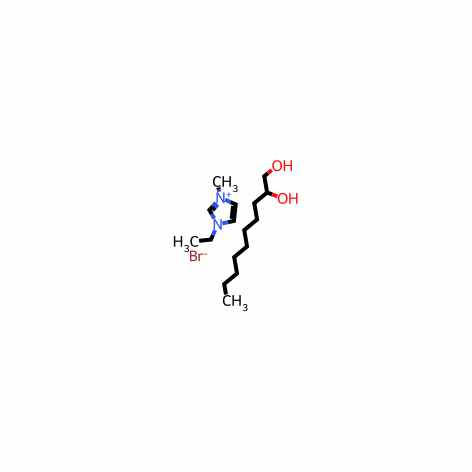 CCCCCCCCC(O)CO.CCn1cc[n+](C)c1.[Br-]